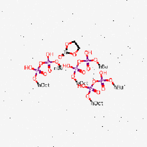 CCCCCCCCOP(=O)(O)OP(=O)(O)OCCCC.CCCCCCCCOP(=O)(O)OP(=O)(O)OCCCC.CCCCCCCCOP(=O)(O)OP(=O)(O)OCCCC.[O]=[Ti]1[O]CC[O]1